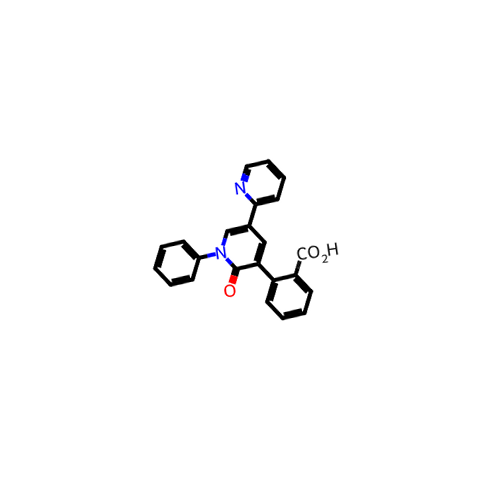 O=C(O)c1ccccc1-c1cc(-c2ccccn2)cn(-c2ccccc2)c1=O